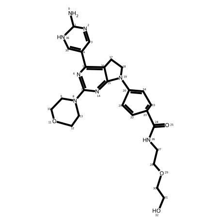 NC1N=CC(c2nc(N3CCOCC3)nc3c2CCN3c2ccc(C(=O)NCCOCCO)cc2)=CN1